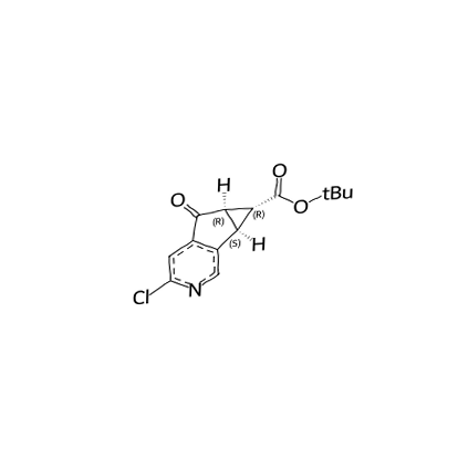 CC(C)(C)OC(=O)[C@H]1[C@@H]2C(=O)c3cc(Cl)ncc3[C@H]12